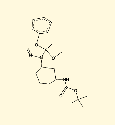 C=NN(C1CCCC(NC(=O)OC(C)(C)C)C1)C(C)(OC)Oc1ccccc1